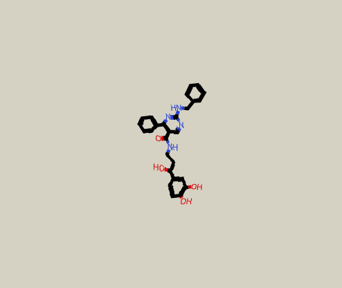 O=C(NCCC(O)c1ccc(O)c(O)c1)c1cnc(NCc2ccccc2)nc1-c1ccccc1